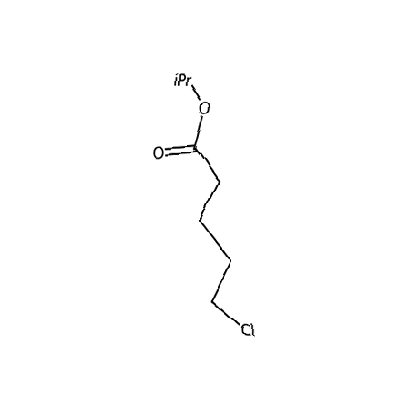 CC(C)OC(=O)CCCCCl